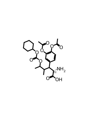 CC(=O)Oc1ccc(C(C(C)C(C)OC(=O)OC2CCCCC2)[C@H](N)C(=O)O)cc1OC(C)=O